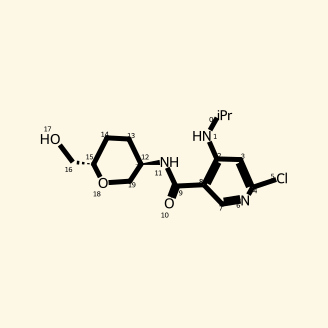 CC(C)Nc1cc(Cl)ncc1C(=O)N[C@@H]1CC[C@@H](CO)OC1